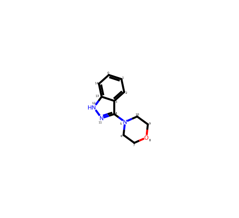 c1ccc2c(N3CCOCC3)n[nH]c2c1